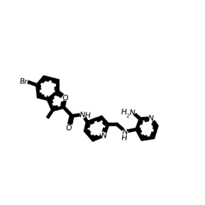 Cc1c(C(=O)Nc2ccnc(CNc3cccnc3N)c2)oc2ccc(Br)cc12